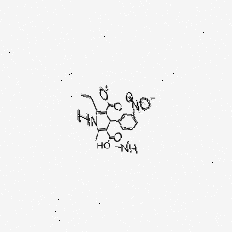 CCC1=C(C(=O)OC)C(c2cccc([N+](=O)[O-])c2)C(C(=O)O)=C(C)N1.CNC